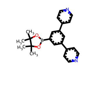 CC1(C)OB(c2cc(-c3ccncc3)cc(-c3ccncc3)c2)OC1(C)C